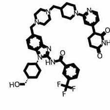 O=C1CCC(c2ccnc(N3CCC(CN4CCN(Cc5ccc6c(c5)nc(NC(=O)c5cccc(C(F)(F)F)c5)n6[C@H]5CC[C@@H](CO)CC5)CC4)CC3)c2)C(=O)N1